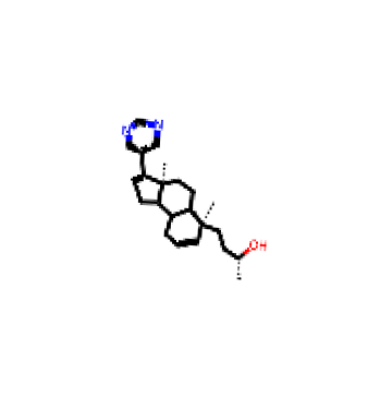 C[C@@H](O)CC[C@@]1(C)C=CCC2C1CC[C@]1(C)C(c3cncnc3)=CCC21